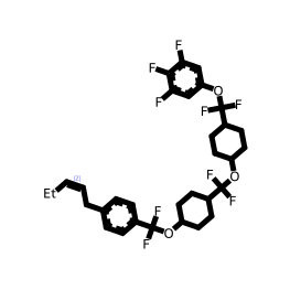 CC/C=C\Cc1ccc(C(F)(F)OC2CCC(C(F)(F)OC3CCC(C(F)(F)Oc4cc(F)c(F)c(F)c4)CC3)CC2)cc1